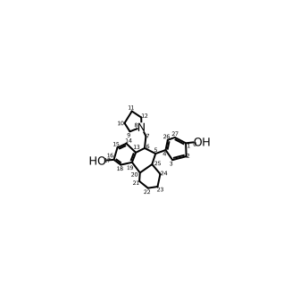 Oc1ccc(C2C(CN3CCCC3)c3ccc(O)cc3C3CCCCC32)cc1